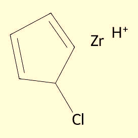 ClC1C=CC=C1.[H+].[Zr]